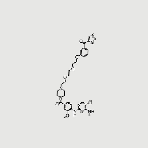 CNc1nc(Nc2ccc(C(=O)N3CCN(CCOCCOCCOc4cccc(C(=O)c5cscn5)c4)CC3)cc2OC)ncc1Cl